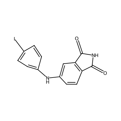 O=C1NC(=O)c2cc(Nc3ccc(I)cc3)ccc21